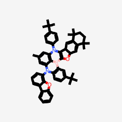 Cc1cc2c3c(c1)N(c1cccc4c1oc1ccccc14)c1ccc(C(C)(C)C)cc1B3C1=C(C3C=C4C(=CC3O1)C(C)(C)CCC4(C)C)N2c1ccc(C(C)(C)C)cc1